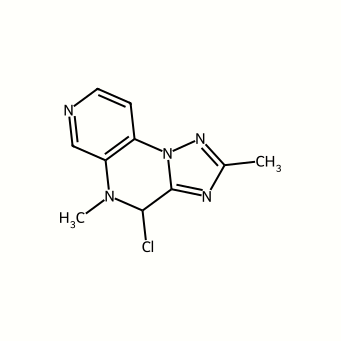 Cc1nc2n(n1)-c1ccncc1N(C)C2Cl